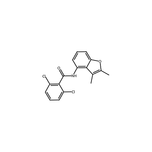 Cc1oc2cccc(NC(=O)c3c(Cl)cccc3Cl)c2c1C